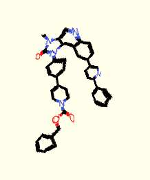 Cn1c(=O)n(-c2ccc(C3=CCN(C(=O)OCc4ccccc4)CC3)cc2)c2c3cc(-c4ccc(-c5ccccc5)nc4)ccc3ncc21